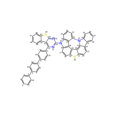 c1ccc(-c2ccc(-c3ccc(-c4nc(-n5c6ccc7sc8ccc9c%10ccccc%10n%10c%11cccc5c%11c6c7c8c9%10)nc5sc6ccccc6c45)cc3)cc2)cc1